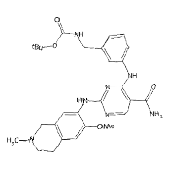 COc1cc2c(cc1Nc1ncc(C(N)=O)c(Nc3cccc(CNC(=O)OC(C)(C)C)c3)n1)CN(C)CC2